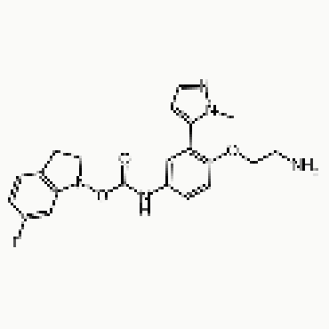 Cn1nccc1-c1cc(NC(=O)ON2CCc3ccc(F)cc32)ccc1OCCN